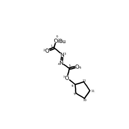 CC(C)COC(=O)N=NC(=O)OC1CCCC1